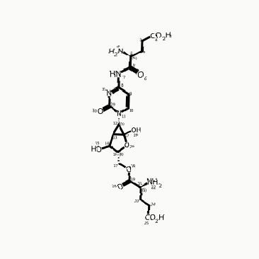 N[C@@H](CCC(=O)O)C(=O)Nc1ccn([C@H]2C3C(O)[C@@H](COC(=O)[C@@H](N)CCC(=O)O)OC32O)c(=O)n1